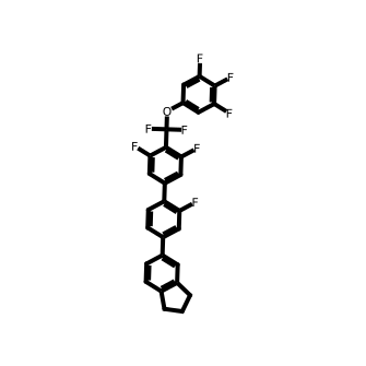 Fc1cc(-c2ccc3c(c2)CCC3)ccc1-c1cc(F)c(C(F)(F)Oc2cc(F)c(F)c(F)c2)c(F)c1